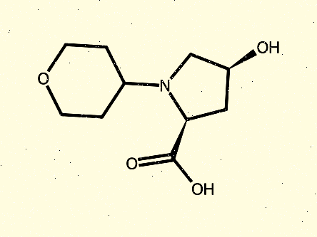 O=C(O)[C@@H]1C[C@H](O)CN1C1CCOCC1